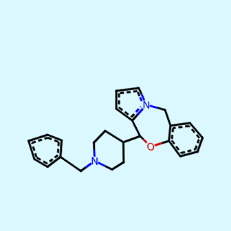 c1ccc(CN2CCC(C3Oc4ccccc4Cn4cccc43)CC2)cc1